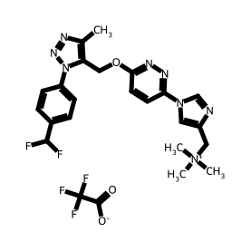 Cc1nnn(-c2ccc(C(F)F)cc2)c1COc1ccc(-n2cnc(C[N+](C)(C)C)c2)nn1.O=C([O-])C(F)(F)F